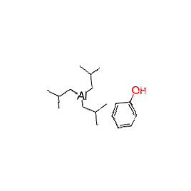 CC(C)[CH2][Al]([CH2]C(C)C)[CH2]C(C)C.Oc1ccccc1